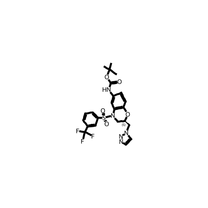 CC(C)(C)OC(=O)Nc1ccc2c(c1)N(S(=O)(=O)c1cccc(C(F)(F)F)c1)C[C@H](Cn1ccnn1)O2